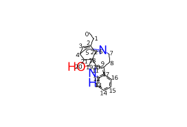 CCC1=CC2CN3CCc4c([nH]c5ccccc45)C(CO)(C2)C13